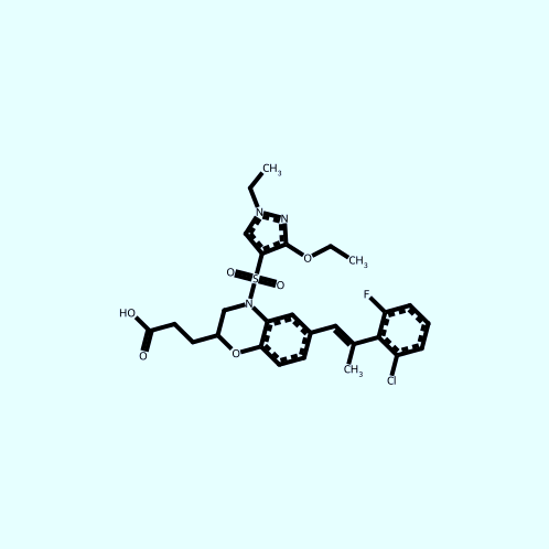 CCOc1nn(CC)cc1S(=O)(=O)N1CC(CCC(=O)O)Oc2ccc(C=C(C)c3c(F)cccc3Cl)cc21